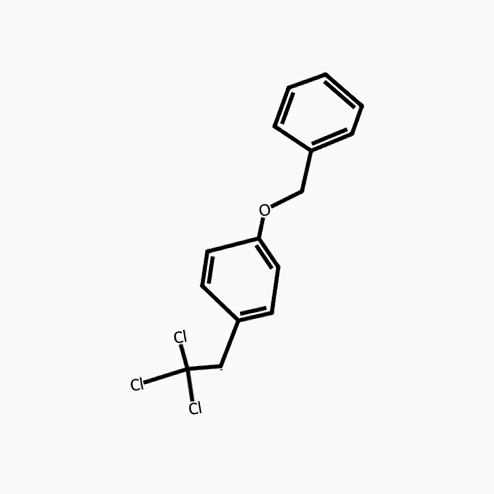 ClC(Cl)(Cl)[CH]c1ccc(OCc2ccccc2)cc1